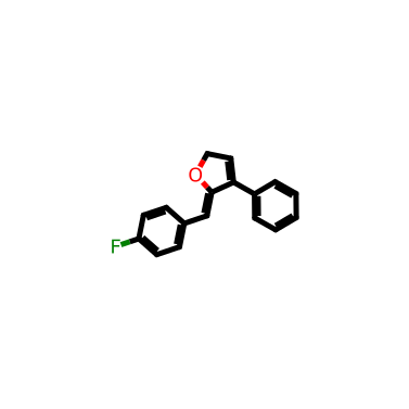 Fc1ccc(C=C2OCC=C2c2ccccc2)cc1